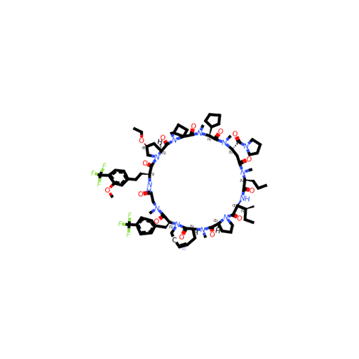 CCC[C@H]1C(=O)N[C@@H]([C@@H](C)CC)C(=O)N2CCC[C@H]2C(=O)N(C)[C@H]2C/C=C\CCN(C2=O)[C@@H](Cc2ccc(C(F)(F)F)cc2)C(=O)N(C)CC(=O)N[C@@H](CCc2ccc(C(F)(F)F)c(OC)c2)C(=O)N2C[C@H](OCC)C[C@H]2C(=O)N(C)C2(CCC2)C(=O)N(C)[C@@H](C2CCCC2)C(=O)N(C)[C@H](C(=O)N2CCCC2)CC(=O)N1C